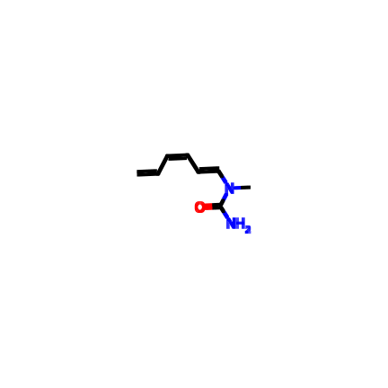 C=C/C=C\C=C\N(C)C(N)=O